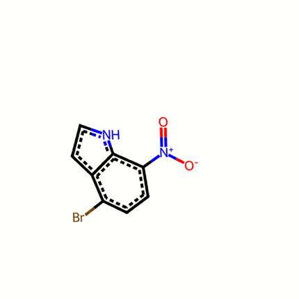 O=[N+]([O-])c1ccc(Br)c2cc[nH]c12